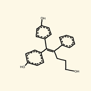 OCCCC(=C(c1ccc(O)cc1)c1ccc(O)cc1)c1ccccc1